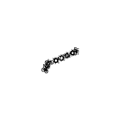 C[C@]1(COc2ccc(N3CCC(N4CCN(c5ccc(C(F)(F)F)cc5)CC4)CC3)cc2)Cn2cc([N+](=O)[O-])nc2O1